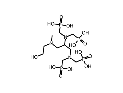 CN(CCO)CC(CN(CP(=O)(O)O)CP(=O)(O)O)N(CP(=O)(O)O)CP(=O)(O)O